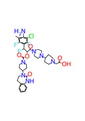 Cc1c(N)c(Cl)c(F)c(C(F)C(OC(=O)N2CCC(N3CCc4ccccc4NC3=O)CC2)C(=O)N2CCN(C3CCN(CC(=O)O)CC3)CC2)c1F